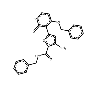 Cc1cc(-c2c(OCc3ccccc3)cc[nH]c2=O)oc1C(=O)NCc1ccccc1